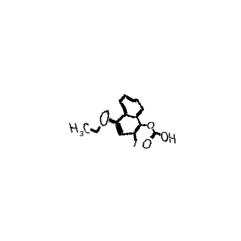 CCOc1cc(I)c(OC(=O)O)c2ccccc12